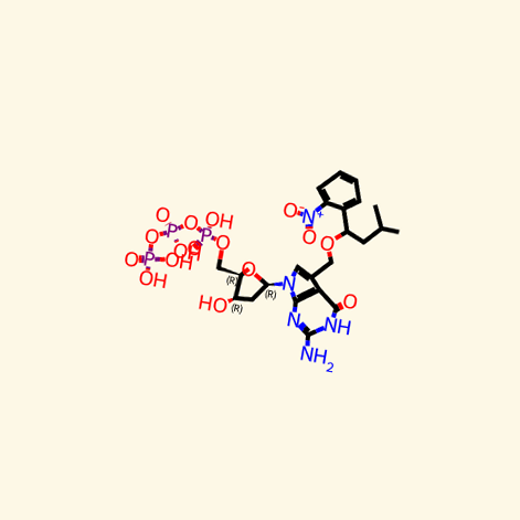 CC(C)CC(OCc1cn([C@H]2C[C@@H](O)[C@@H](COP(=O)(O)OP(=O)(O)OP(=O)(O)O)O2)c2nc(N)[nH]c(=O)c12)c1ccccc1[N+](=O)[O-]